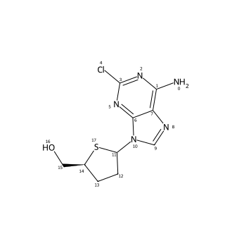 Nc1nc(Cl)nc2c1ncn2C1CC[C@@H](CO)S1